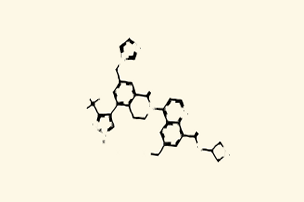 CCc1cc(C(=O)NC2CNC2)c2nccc(N3CCc4c(cc(Cn5ccnc5)cc4-c4cn(C)nc4C(F)(F)F)C3=O)c2c1